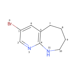 Brc1cnc2c(c1)CCCCN2